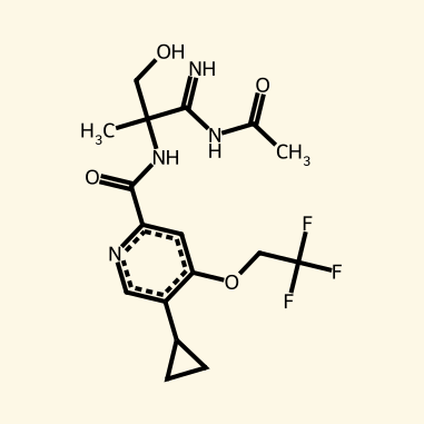 CC(=O)NC(=N)C(C)(CO)NC(=O)c1cc(OCC(F)(F)F)c(C2CC2)cn1